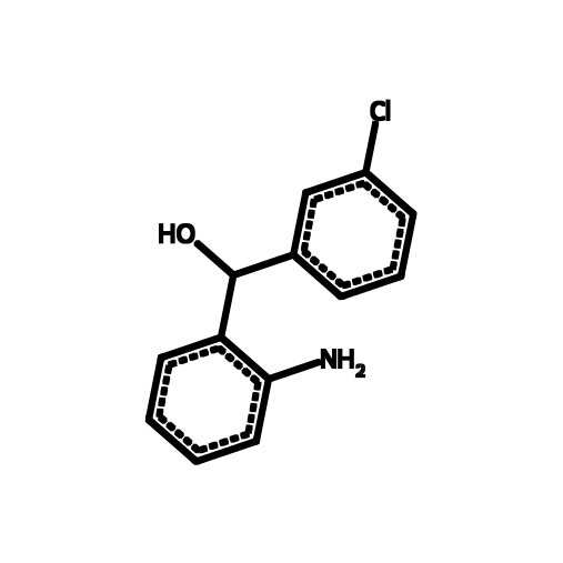 Nc1ccccc1C(O)c1cccc(Cl)c1